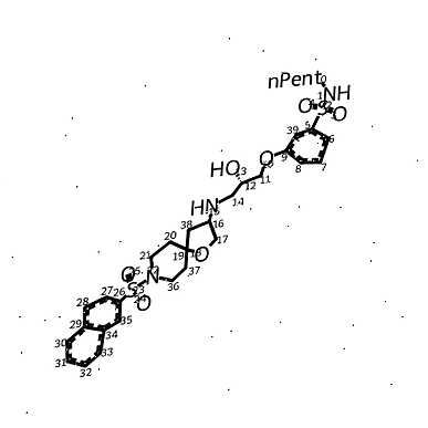 CCCCCNS(=O)(=O)c1cccc(OC[C@@H](O)CNC2COC3(CCN(S(=O)(=O)c4ccc5ccccc5c4)CC3)C2)c1